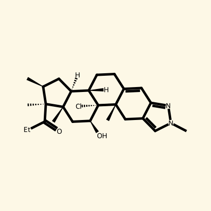 CCC(=O)[C@@]1(C)[C@@H](C)C[C@H]2[C@@H]3CCC4=Cc5nn(C)cc5C[C@]4(C)[C@@]3(Cl)[C@@H](O)C[C@@]21C